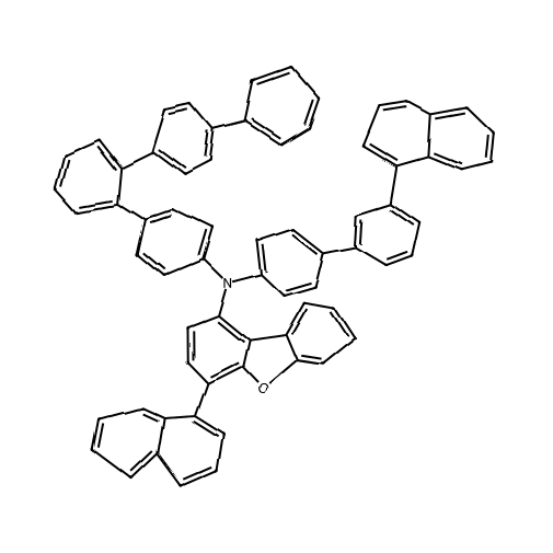 c1ccc(-c2ccc(-c3ccccc3-c3ccc(N(c4ccc(-c5cccc(-c6cccc7ccccc67)c5)cc4)c4ccc(-c5cccc6ccccc56)c5oc6ccccc6c45)cc3)cc2)cc1